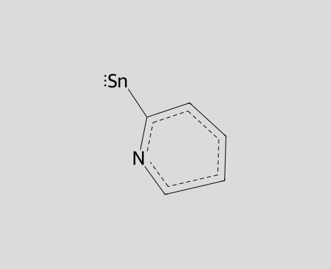 [Sn][c]1ccccn1